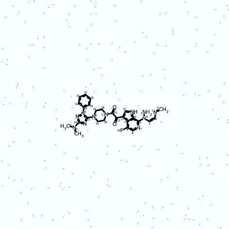 C=N/C=C\N(N)c1ncc(F)c2c(C(=O)C(=O)N3CCN(c4nc(N(C)C)nn4-c4ccccc4)CC3)c[nH]c12